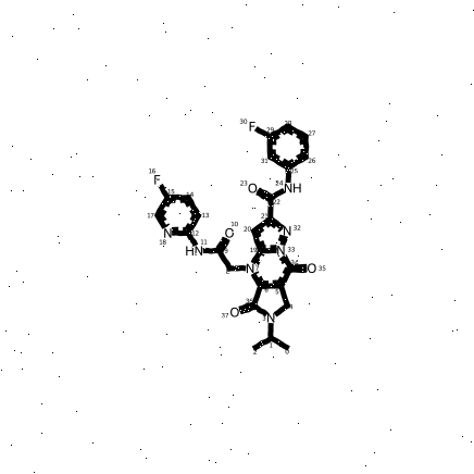 CC(C)N1Cc2c(n(CC(=O)Nc3ccc(F)cn3)c3cc(C(=O)Nc4cccc(F)c4)nn3c2=O)C1=O